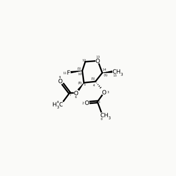 CC(=O)O[C@@H]1[C@@H](OC(C)=O)[C@@H](F)CO[C@H]1C